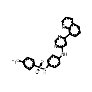 Cc1ccc(S(=O)(=O)Nc2ccc(Nc3cc(-c4cccc5cccnc45)ncn3)cc2)cc1